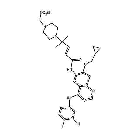 CCOC(=O)CN1CCN(C(C)(C)/C=C/C(=O)Nc2cc3c(Nc4ccc(F)c(Cl)c4)ncnc3cc2OCC2CC2)CC1